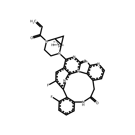 C=CC(=O)N1CCN(c2nc(=O)n3c4nc(c(F)cc24)-c2c(F)cccc2NC(=O)Cc2ccnc(C(C)C)c2-3)[C@@H]2C[C@@H]21